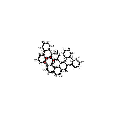 c1ccc(-c2cccc(-c3nc4c5ccccc5c5ccccc5c4nc3-c3cccc4ccc5ccc6ccccc6c5c34)c2)cc1